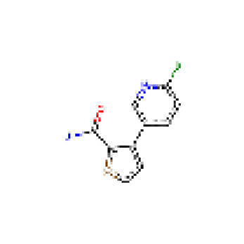 NC(=O)c1sccc1-c1ccc(Br)nc1